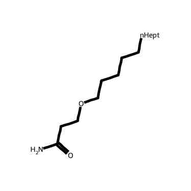 CCCCCCCCCCCCOCCC(N)=O